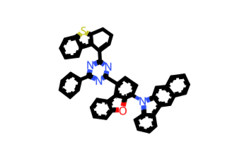 C1=C(c2nc(-c3ccccc3)nc(-c3ccc(-n4c5ccccc5c5cc6ccccc6cc54)c4oc5ccccc5c34)n2)c2c(sc3ccccc23)CC1